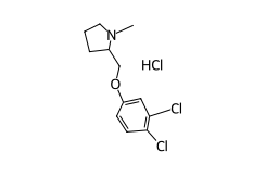 CN1CCCC1COc1ccc(Cl)c(Cl)c1.Cl